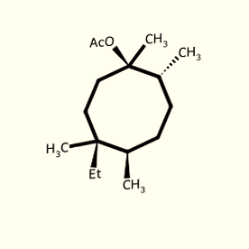 CC[C@@]1(C)CC[C@@](C)(OC(C)=O)[C@H](C)CC[C@H]1C